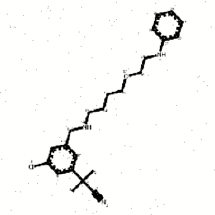 CC(C)(C#N)c1cc(Cl)cc(CNCCCCOCCNc2ccccc2)c1